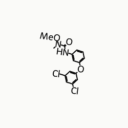 CON(C)C(=O)Nc1cccc(Oc2cc(Cl)cc(Cl)c2)c1